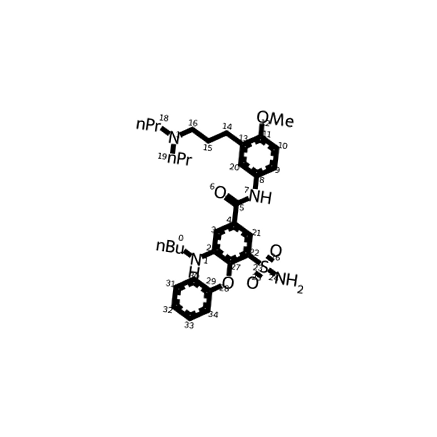 CCCCNc1cc(C(=O)Nc2ccc(OC)c(CCCN(CCC)CCC)c2)cc(S(N)(=O)=O)c1Oc1ccccc1